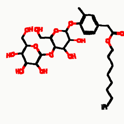 Cc1cc(CC(=O)OCCCCCCCC(C)C)ccc1OC1OC(CO)C(OC2OC(CO)C(O)C(O)C2O)C(O)C1O